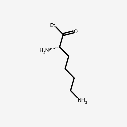 CCC(=O)[C@@H](N)CCCCN